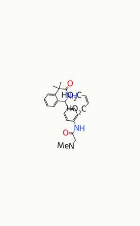 CNCC(=O)Nc1ccc(C2NC(=O)C(C)(C)c3ccccc32)cc1.O=C(O)/C=C\C(=O)O